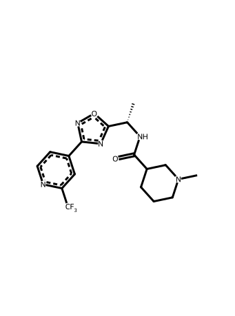 C[C@H](NC(=O)C1CCCN(C)C1)c1nc(-c2ccnc(C(F)(F)F)c2)no1